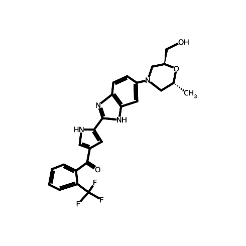 C[C@@H]1CN(c2ccc3nc(-c4cc(C(=O)c5ccccc5C(F)(F)F)c[nH]4)[nH]c3c2)C[C@@H](CO)O1